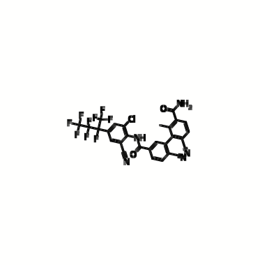 Cc1c(C(N)=O)ccc(C#N)c1-c1cc(C(=O)Nc2c(Cl)cc(C(F)(C(F)(F)F)C(F)(F)C(F)(F)F)cc2C#N)ccc1C#N